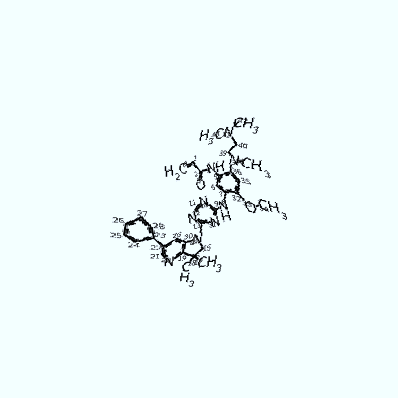 C=CC(=O)Nc1cc(Nc2ncnc(N3CC(C)(C)c4ncc(-c5ccccc5)cc43)n2)c(OC)cc1N(C)CCN(C)C